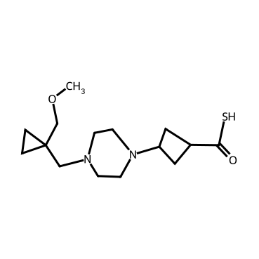 COCC1(CN2CCN(C3CC(C(=O)S)C3)CC2)CC1